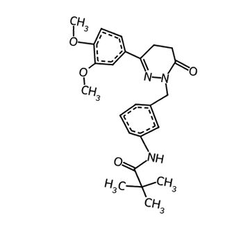 COc1ccc(C2=NN(Cc3cccc(NC(=O)C(C)(C)C)c3)C(=O)CC2)cc1OC